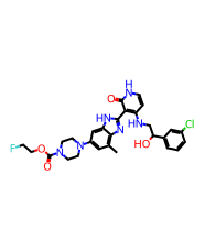 Cc1cc(N2CCN(C(=O)OCCF)CC2)cc2[nH]c(-c3c(NCC(O)c4cccc(Cl)c4)cc[nH]c3=O)nc12